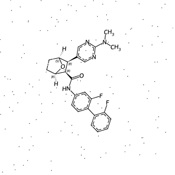 CN(C)c1ncc([C@H]2[C@@H](C(=O)Nc3ccc(-c4ccccc4F)c(F)c3)[C@H]3CC[C@@H]2O3)cn1